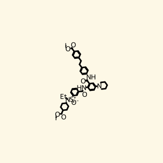 CCN(C1CCC(C(=O)OI)CC1)[S+]([O-])c1cccc(C(=O)Nc2ccc(N3CCCCC3)cc2C(=O)Nc2ccc(CCc3ccc(C(=O)OI)cc3)cc2)c1